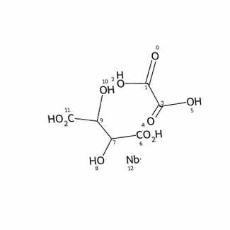 O=C(O)C(=O)O.O=C(O)C(O)C(O)C(=O)O.[Nb]